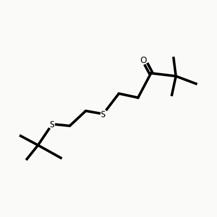 CC(C)(C)SCCSCCC(=O)C(C)(C)C